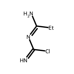 CC/C(N)=N\C(=N)Cl